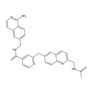 C=C(NCc1ccc2c(N)nccc2c1)c1ccnc(Cc2ccc3nc(CNC(C)=O)ccc3c2)c1